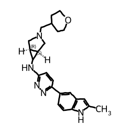 Cc1cc2cc(-c3ccc(NC4[C@H]5CN(CC6CCOCC6)C[C@@H]45)nn3)ccc2[nH]1